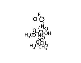 COC(=O)c1c2c(c(O)c(=O)n1CC(=O)OC(C)(C)C)C(=O)N(Cc1ccc(F)c(Cl)c1)CC2